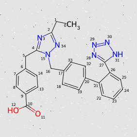 CCc1nc(Cc2ccc(C(=O)O)cc2)n(Cc2ccc(-c3ccccc3-c3nnn[nH]3)cc2)n1